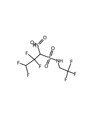 O=[SH](=O)C(C(F)(F)C(F)F)S(=O)(=O)NCC(F)(F)F